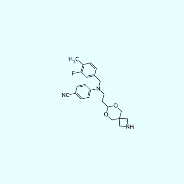 Cc1ccc(CN(CCC2OCC3(CNC3)CO2)c2ccc(C#N)cc2)cc1F